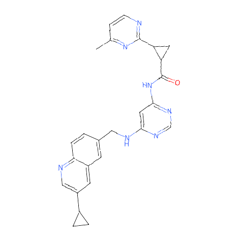 Cc1ccnc(C2CC2C(=O)Nc2cc(NCc3ccc4ncc(C5CC5)cc4c3)ncn2)n1